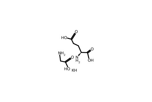 NCC(=O)O.N[C@@H](CCC(=O)O)C(=O)O.[KH]